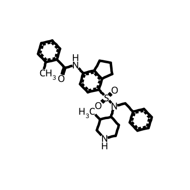 Cc1ccccc1C(=O)Nc1ccc(S(=O)(=O)N(Cc2ccccc2)C2CCNCC2C)c2c1CCC2